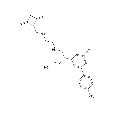 C=C1CC(=C)C1CNCCNCC(CCO)c1cc(-c2ccc(C(F)(F)F)cc2)nc(C(F)(F)F)c1